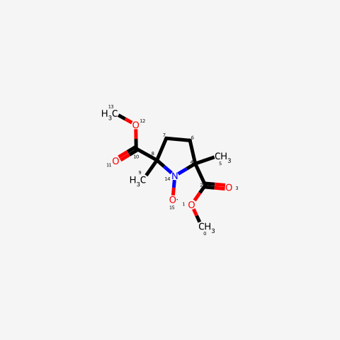 COC(=O)C1(C)CCC(C)(C(=O)OC)N1[O]